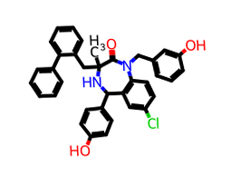 CC1(Cc2ccccc2-c2ccccc2)NC(c2ccc(O)cc2)c2cc(Cl)ccc2N(Cc2cccc(O)c2)C1=O